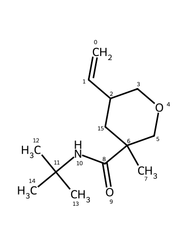 C=CC1COCC(C)(C(=O)NC(C)(C)C)C1